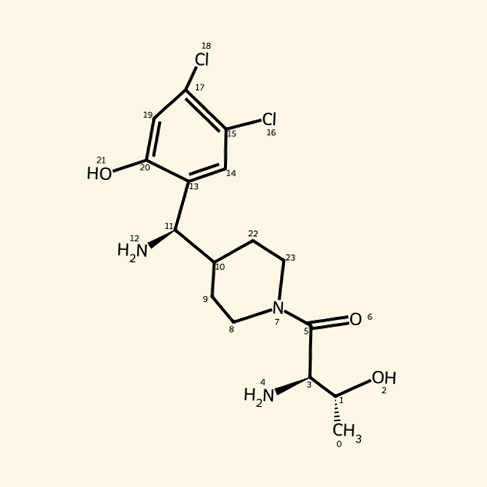 C[C@@H](O)[C@@H](N)C(=O)N1CCC([C@@H](N)c2cc(Cl)c(Cl)cc2O)CC1